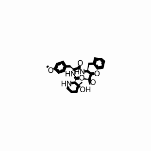 COc1ccc(C[C@H](NC(=O)[C@H]2NCCC[C@@]2(C)O)C(=O)N[C@@H](Cc2ccccc2)C(=O)[C@@]2(C)CO2)cc1